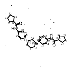 O=C(Nc1ccc([C@H]2CCC[C@H](c3ccc(NC(=O)C4CCCC4)nn3)C2)nn1)C1CCCC1